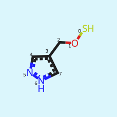 SOCc1cn[nH]c1